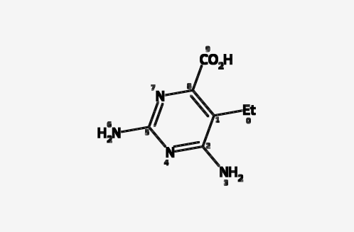 CCc1c(N)nc(N)nc1C(=O)O